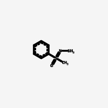 CS(=O)(=N[SiH3])c1ccccc1